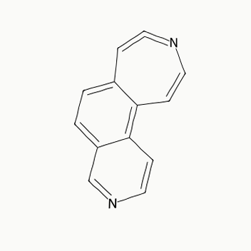 C1=Cc2ccc3cnccc3c2C=CN=1